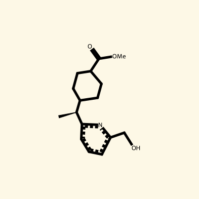 COC(=O)C1CCC([C@H](C)c2cccc(CO)n2)CC1